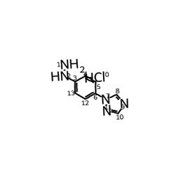 Cl.NNc1ccc(-n2cncn2)cc1